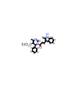 CCOC(=O)C1=C(C)N=c2s/c(=C\c3c(C)[nH]c4ccccc34)c(=O)n2C1c1ccccc1